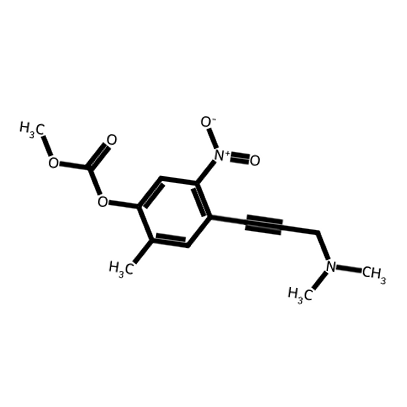 COC(=O)Oc1cc([N+](=O)[O-])c(C#CCN(C)C)cc1C